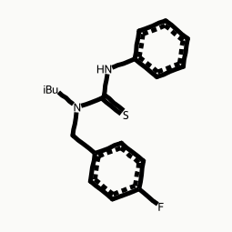 CCC(C)N(Cc1ccc(F)cc1)C(=S)Nc1ccccc1